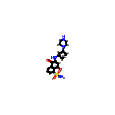 NS(=O)(=O)c1cccc2c1C(=O)C=C(Nc1cccc(N3CCNCC3)c1)C2=O